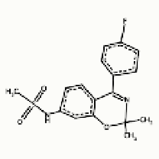 CC1(C)N=C(c2ccc(F)cc2)c2ccc(NS(C)(=O)=O)cc2O1